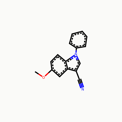 COc1ccc2c(c1)c(C#N)cn2-c1ccccc1